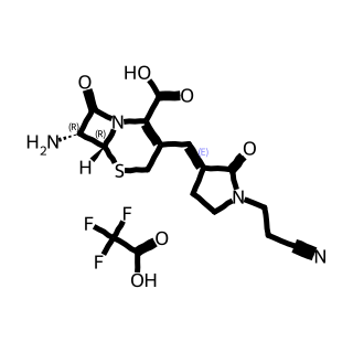 N#CCCN1CC/C(=C\C2=C(C(=O)O)N3C(=O)[C@@H](N)[C@H]3SC2)C1=O.O=C(O)C(F)(F)F